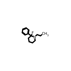 CCCN1CCCCC1(F)c1ccccc1